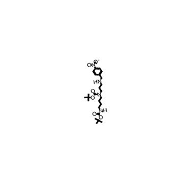 CC(C)(C)OC(=O)NCCCCN(CCCNCc1ccc([N+](=O)[O-])cc1)C(=O)OC(C)(C)C